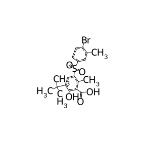 Cc1cc(S(=O)(=O)c2cc(C(C)(C)C)c(O)c(C(=O)O)c2C)ccc1Br